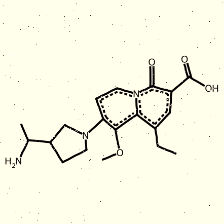 CCc1cc(C(=O)O)c(=O)n2ccc(N3CCC(C(C)N)C3)c(OC)c12